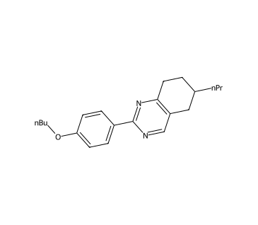 CCCCOc1ccc(-c2ncc3c(n2)CCC(CCC)C3)cc1